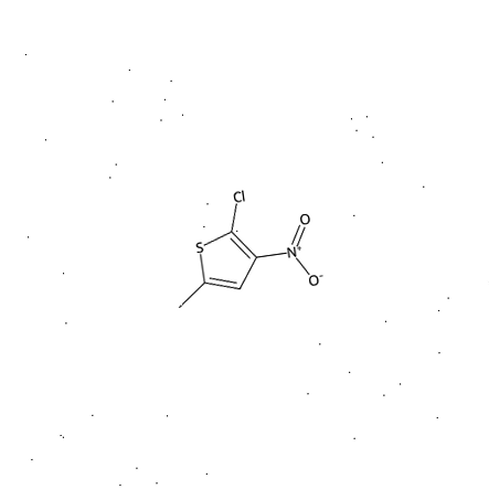 Cc1cc([N+](=O)[O-])c(Cl)s1